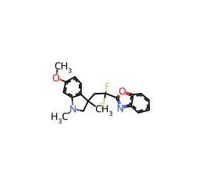 COc1ccc2c(c1)N(C)CC2(C)CC(F)(F)c1nc2ccccc2o1